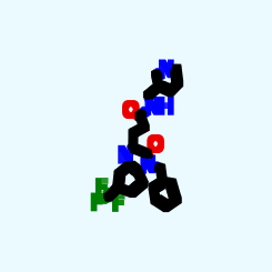 O=C(CCc1nc2cc(C(F)(F)F)ccc2n(Cc2ccccc2)c1=O)NCc1cccnc1